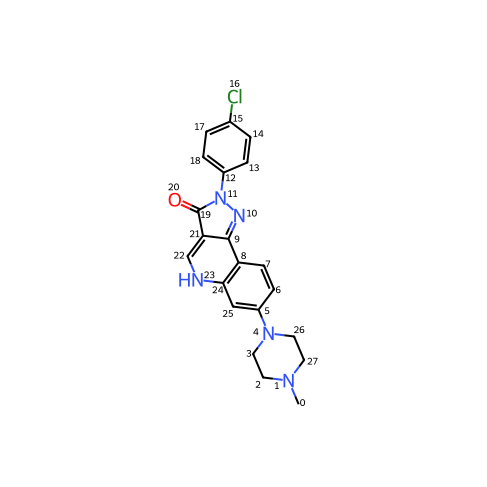 CN1CCN(c2ccc3c4nn(-c5ccc(Cl)cc5)c(=O)c-4c[nH]c3c2)CC1